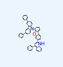 C1=CC2=C(c3ccccc3)C=C(c3ccc4c(c3)oc3c(-n5c6ccc(-c7ccccc7)cc6c6cc(-c7ccccc7)ccc65)cccc34)NC2C=C1